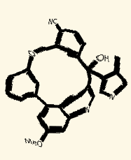 C=C1C=NC=C1C1(O)c2ccc(C#N)c(c2)COc2cccc(c2)-c2cc(OC)cc3ncc1cc23